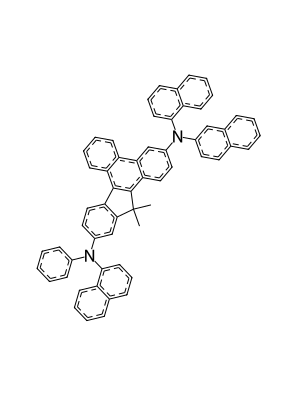 CC1(C)c2cc(N(c3ccccc3)c3cccc4ccccc34)ccc2-c2c1c1ccc(N(c3ccc4ccccc4c3)c3cccc4ccccc34)cc1c1ccccc21